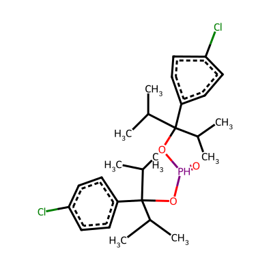 CC(C)C(O[PH](=O)OC(c1ccc(Cl)cc1)(C(C)C)C(C)C)(c1ccc(Cl)cc1)C(C)C